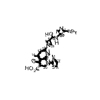 CCCc1nnc(NC(O)C2CN(c3cc(C)c4c(=O)c(C(=O)O)cn(-c5nccs5)c4n3)C2)s1